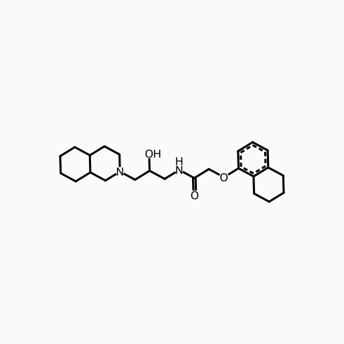 O=C(COc1cccc2c1CCCC2)NCC(O)CN1CCC2CCCCC2C1